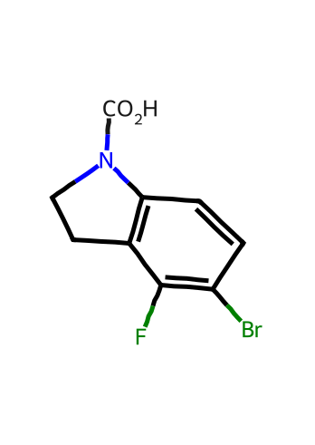 O=C(O)N1CCc2c1ccc(Br)c2F